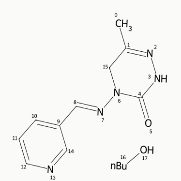 CC1=NNC(=O)N(/N=C/c2cccnc2)C1.CCCCO